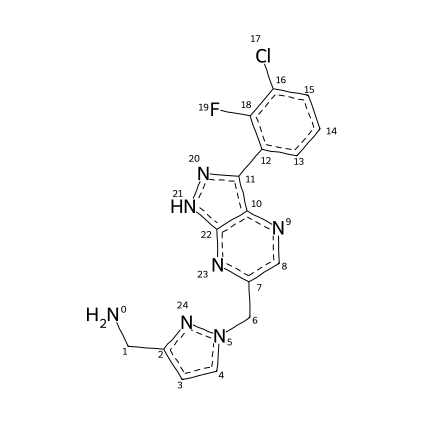 NCc1ccn(Cc2cnc3c(-c4cccc(Cl)c4F)n[nH]c3n2)n1